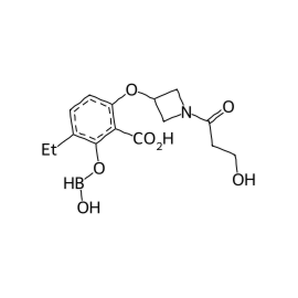 CCc1ccc(OC2CN(C(=O)CCO)C2)c(C(=O)O)c1OBO